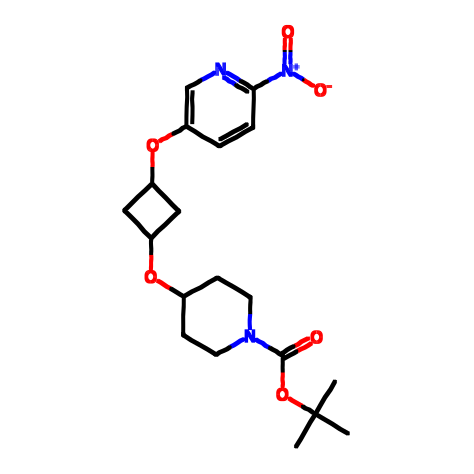 CC(C)(C)OC(=O)N1CCC(OC2CC(Oc3ccc([N+](=O)[O-])nc3)C2)CC1